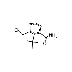 CC(C)(C)c1c(CCl)cccc1C(N)=O